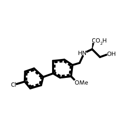 COc1cc(-c2ccc(Cl)cc2)ccc1CN[C@H](CO)C(=O)O